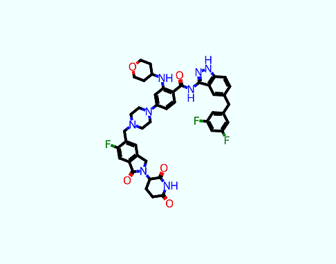 O=C1CCC(N2Cc3cc(CN4CCN(c5ccc(C(=O)Nc6n[nH]c7ccc(Cc8cc(F)cc(F)c8)cc67)c(NC6CCOCC6)c5)CC4)c(F)cc3C2=O)C(=O)N1